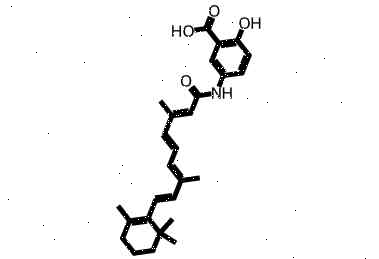 CC(C=CC1=C(C)CCCC1(C)C)=CC=CC(C)=CC(=O)Nc1ccc(O)c(C(=O)O)c1